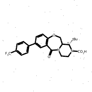 CC(C)(C)[C@H]1C2COc3ccc(-c4ccc(C(F)(F)F)cc4)cc3C(=O)N2CCN1C(=O)O